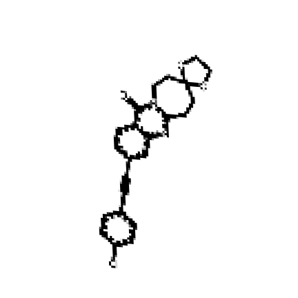 O=c1c2ccc(C#Cc3ccc(Cl)cc3)cc2nc2n1CCC1(CC2)OCCO1